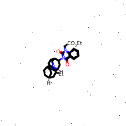 CCOC(=O)Cn1c(=O)n(C2C[C@H]3CCCCC2CN3C2C[C@@H]3CCC2CCC(CC)C3)c(=O)c2ccccc21